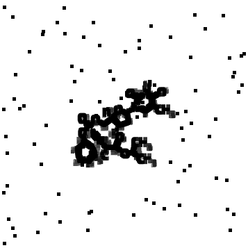 Cc1cn([C@H]2C[C@H](F)[C@@](F)(COP(=O)(C#[N+][C@@H](C)C(=O)OC(C)C)Oc3ccccc3)O2)c(=O)[nH]c1=O